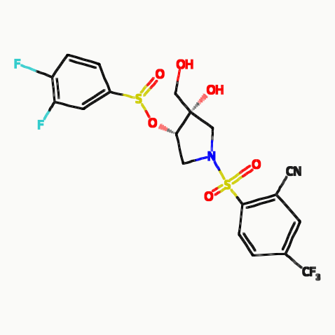 N#Cc1cc(C(F)(F)F)ccc1S(=O)(=O)N1C[C@H](OS(=O)c2ccc(F)c(F)c2)[C@@](O)(CO)C1